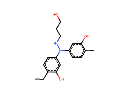 CCc1ccc(N(NCCCO)c2ccc(C)c(O)c2)cc1O